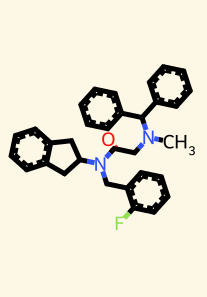 CN(CC(=O)N(Cc1ccccc1F)C1Cc2ccccc2C1)C(c1ccccc1)c1ccccc1